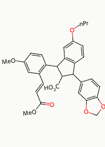 CCCOc1ccc2c(c1)C(c1ccc(OC)cc1/C=C/C(=O)OC)C(C(=O)O)C2c1ccc2c(c1)OCO2